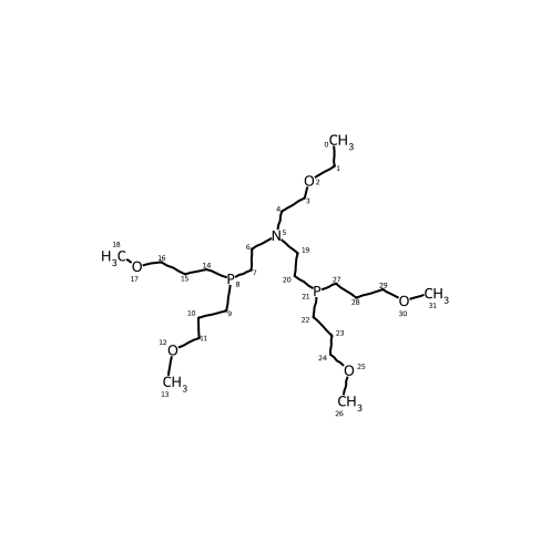 CCOCCN(CCP(CCCOC)CCCOC)CCP(CCCOC)CCCOC